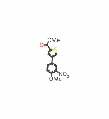 COC(=O)c1cc(-c2ccc(OC)c([N+](=O)[O-])c2)cs1